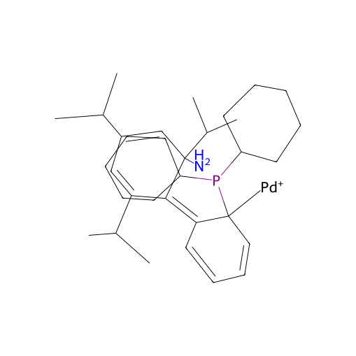 CC(C)C1=CC(N)(C(C)C)C(=C2C=CC=C[C]2([Pd+])P(C2CCCCC2)C2CCCCC2)C(C(C)C)=C1